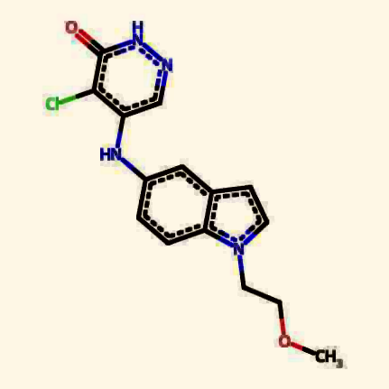 COCCn1ccc2cc(Nc3cn[nH]c(=O)c3Cl)ccc21